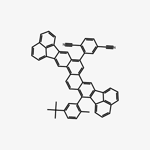 Cc1ccc(C(C)(C)C)cc1-c1c2c(cc3c1ccc1c4cc5c(cc4c(-c4cc(C#N)ccc4C#N)cc31)-c1cccc3cccc-5c13)-c1cccc3cccc-2c13